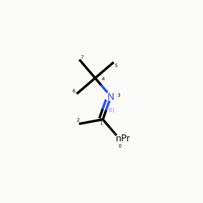 CCC/C(C)=N/C(C)(C)C